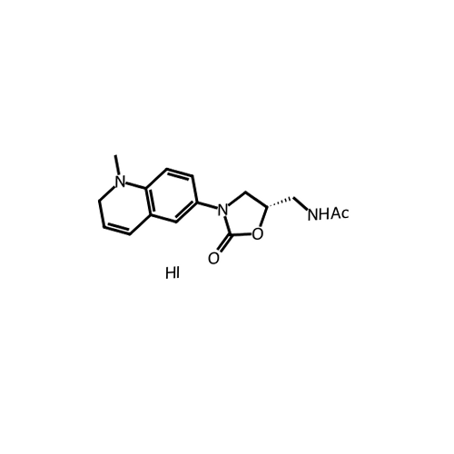 CC(=O)NC[C@H]1CN(c2ccc3c(c2)C=CCN3C)C(=O)O1.I